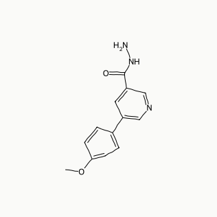 COc1ccc(-c2cncc(C(=O)NN)c2)cc1